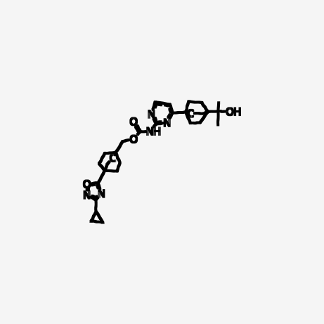 CC(C)(O)C12CCC(c3ccnc(NC(=O)OCC45CCC(c6nc(C7CC7)no6)(CC4)CC5)n3)(CC1)CC2